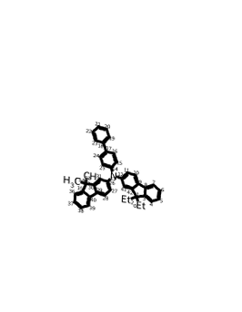 CCC1(CC)c2ccccc2-c2ccc(N(c3ccc(-c4ccccc4)cc3)c3ccc4c(c3)C(C)(C)c3ccccc3-4)cc21